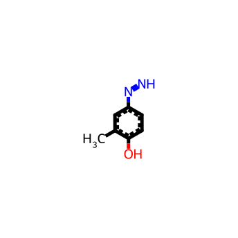 Cc1cc(N=N)ccc1O